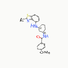 COc1ccc(C(=O)N[C@@H]2CCC[C@H](Nc3cccc4sc(C(C)=O)nc34)C2)cc1